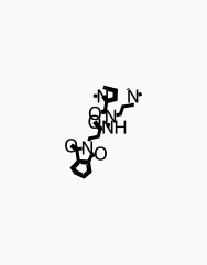 CN(C)CCCN(NC(=O)CCN1C(=O)c2ccccc2C1=O)C(=O)c1cccn1C